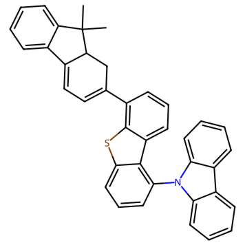 CC1(C)c2ccccc2C2=CC=C(c3cccc4c3sc3cccc(-n5c6ccccc6c6ccccc65)c34)CC21